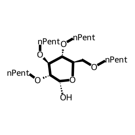 CCCCCOC[C@H]1O[C@H](O)[C@H](OCCCCC)[C@@H](OCCCCC)[C@@H]1OCCCCC